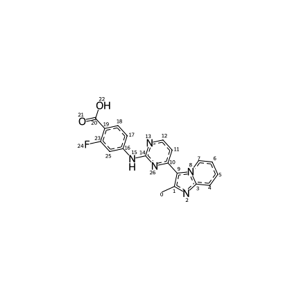 Cc1nc2ccccn2c1-c1ccnc(Nc2ccc(C(=O)O)c(F)c2)n1